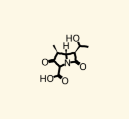 CC(O)[C@H]1C(=O)N2C(C(=O)O)C(=O)[C@@H](C)[C@H]12